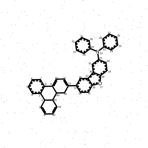 C1=CC2c3ccccc3C3=CC=C(c4ccc5oc6ccc(N(c7ccccc7)c7ccccc7)cc6c5c4)CC3C2C=C1